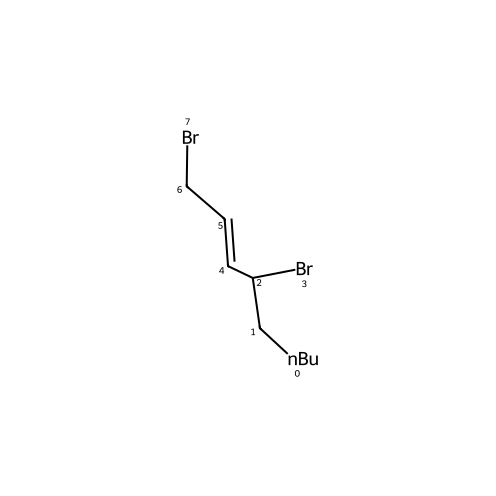 CCCCCC(Br)C=CCBr